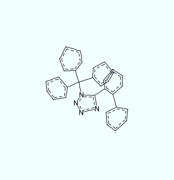 [c]1ccc(-c2ccccc2-c2nnnn2C(c2ccccc2)(c2ccccc2)c2ccccc2)cc1